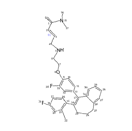 C=C(/C=C/CNCCOc1ccc(C2=C(c3ccc(F)cc3C)CCCc3ccccc32)cc1F)N(C)C